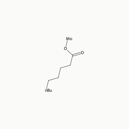 CCCCCCCCC(=O)[O][Mo]